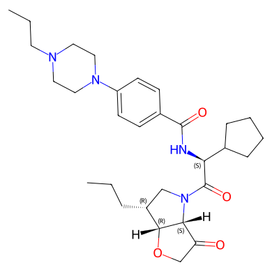 CCC[C@@H]1CN(C(=O)[C@@H](NC(=O)c2ccc(N3CCN(CCC)CC3)cc2)C2CCCC2)[C@@H]2C(=O)CO[C@H]12